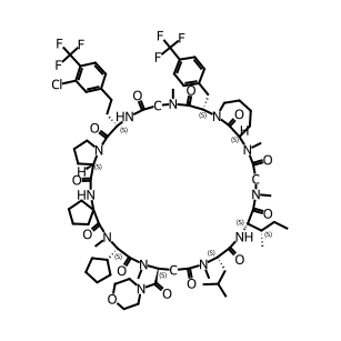 CC[C@H](C)[C@@H]1NC(=O)[C@H](CC(C)C)N(C)C(=O)C[C@@H](C(=O)N2CCOCC2)N(C)C(=O)[C@H](C2CCCC2)N(C)C(=O)C2(CCCC2)NC(=O)[C@@H]2CCCN2C(=O)[C@H](CCc2ccc(C(F)(F)F)c(Cl)c2)NC(=O)CN(C)C(=O)[C@H](Cc2ccc(C(F)(F)F)cc2)N2CCCC[C@@H](C2=O)N(C)C(=O)CN(C)C1=O